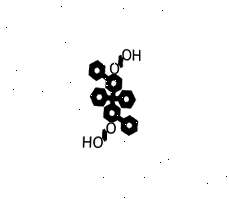 OCCOc1ccc(C(c2ccccc2)(c2ccccc2)c2ccc(OCCO)c(-c3ccccc3)c2)cc1-c1ccccc1